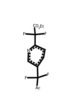 CCOC(=O)C(F)(F)c1ccc(C(F)(F)C(C)=O)cn1